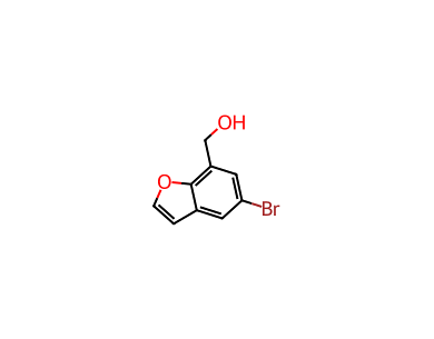 OCc1cc(Br)cc2ccoc12